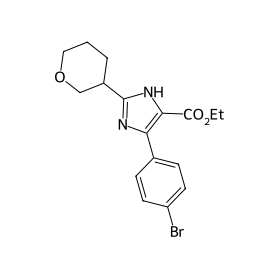 CCOC(=O)c1[nH]c(C2CCCOC2)nc1-c1ccc(Br)cc1